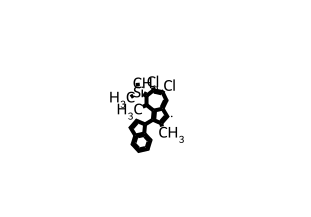 CC1=[C]C2=CC(Cl)=C(Cl)C(=[Si](C)C)C(C)C2=C1C1C=Cc2ccccc21